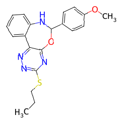 CCCSc1nnc2c(n1)OC(c1ccc(OC)cc1)Nc1ccccc1-2